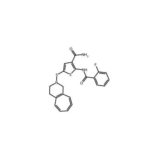 NC(=O)c1cc(SN2CCC3=C(C=C=CC=C3)C2)sc1NC(=O)c1ccccc1F